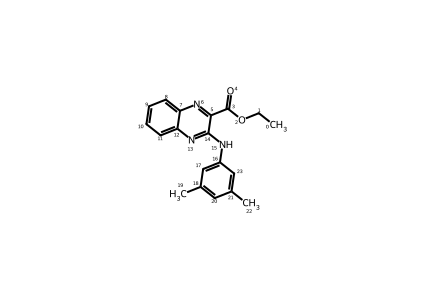 CCOC(=O)c1nc2ccccc2nc1Nc1cc(C)cc(C)c1